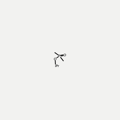 CC(C)OP(C)(C)=O